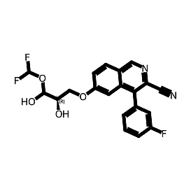 N#Cc1ncc2ccc(OC[C@@H](O)C(O)OC(F)F)cc2c1-c1cccc(F)c1